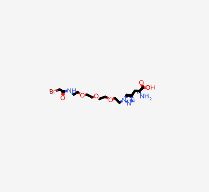 N[C@@H](Cc1cn(CCOCCOCCOCCNC(=O)CBr)nn1)C(=O)O